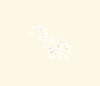 C[C@H]1O[C@@H](n2cc(F)c(N)nc2=O)[C@H](O)[C@@H]1O.Nc1ccn([C@@H]2O[C@H](CO)C[C@H]2O)c(=O)n1.O=c1[nH]c(=O)n([C@@H]2O[C@H](CO)[C@@H](O)[C@H]2O)cc1O